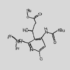 CC(C)(C)OC(=O)CC(O)c1c(NC(=O)C(C)(C)C)cc(Cl)nc1Cl.CC(C)NC(C)C